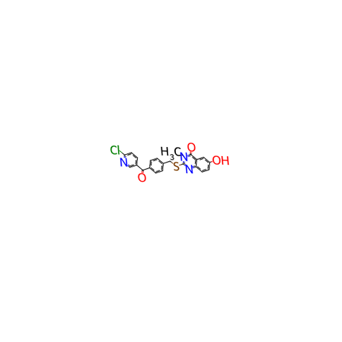 Cn1c(SCc2ccc(C(=O)c3ccc(Cl)nc3)cc2)nc2ccc(O)cc2c1=O